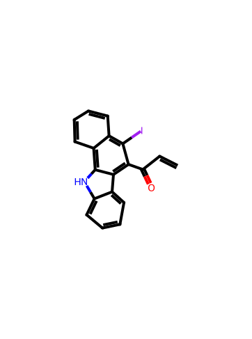 C=CC(=O)c1c(I)c2ccccc2c2[nH]c3ccccc3c12